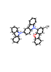 N#Cc1cc(-n2c3ccccc3c3cc(-n4c5ccccc5c5ccccc54)ccc32)c2oc3ccccc3c2c1